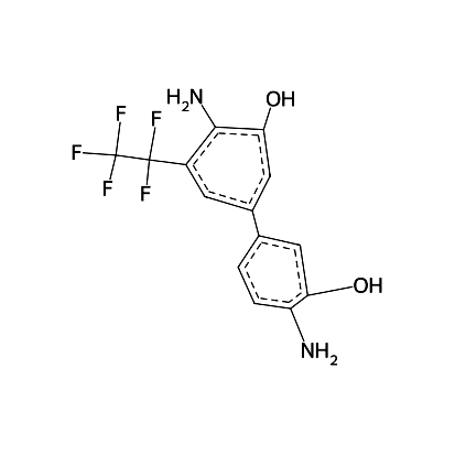 Nc1ccc(-c2cc(O)c(N)c(C(F)(F)C(F)(F)F)c2)cc1O